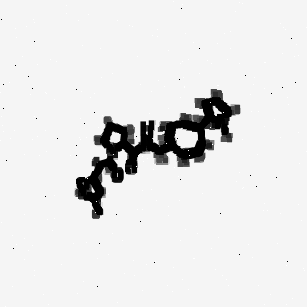 Cc1cc(CC(=O)N2CCCC2C(=O)NCC2=CC=C(c3cccn3C)C=C=C2)on1